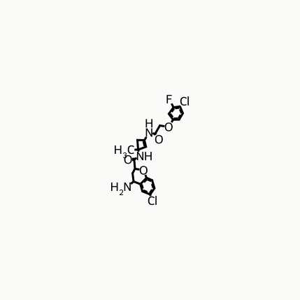 CC1(NC(=O)C2CC(N)c3cc(Cl)ccc3O2)C=C(NC(=O)COc2ccc(Cl)c(F)c2)C1